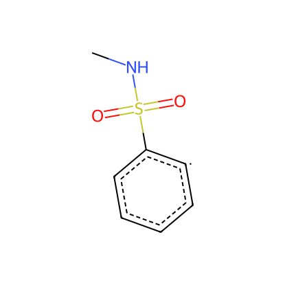 CNS(=O)(=O)c1[c]cccc1